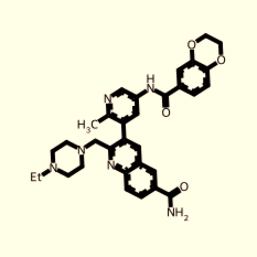 CCN1CCN(Cc2nc3ccc(C(N)=O)cc3cc2-c2cc(NC(=O)c3ccc4c(c3)OCCO4)cnc2C)CC1